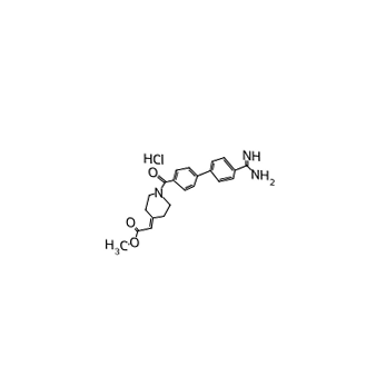 COC(=O)C=C1CCN(C(=O)c2ccc(-c3ccc(C(=N)N)cc3)cc2)CC1.Cl